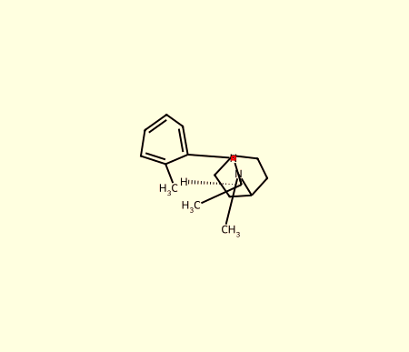 Cc1ccccc1N1C2CCC(CC2)N(C)[C@@H]1C